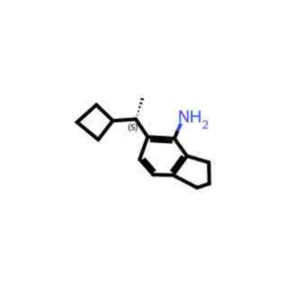 C[C@H](c1ccc2c(c1N)CCC2)C1CCC1